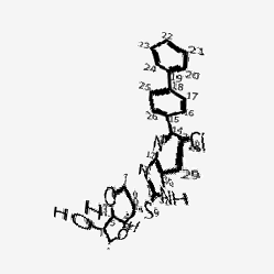 O[C@@H]1CO[C@H]2[C@@H]1OC[C@@H]2Sc1nc2nc(-c3ccc(-c4ccccc4)cc3)c(Cl)cc2[nH]1